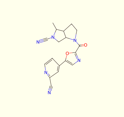 CC1C2CCN(C(=O)c3ncc(-c4ccnc(C#N)c4)o3)C2CN1C#N